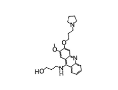 COc1cc2c(NCCCO)c3ccccc3nc2cc1OCCCN1CCCC1